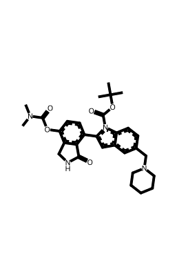 CN(C)C(=O)Oc1ccc(-c2cc3cc(CN4CCCCC4)ccc3n2C(=O)OC(C)(C)C)c2c1CNC2=O